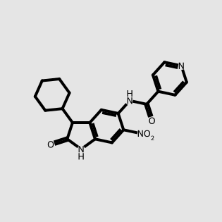 O=C(Nc1cc2c(cc1[N+](=O)[O-])NC(=O)C2C1CCCCC1)c1ccncc1